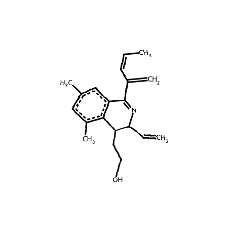 C=CC1N=C(C(=C)/C=C\C)c2cc(C)cc(C)c2C1CCO